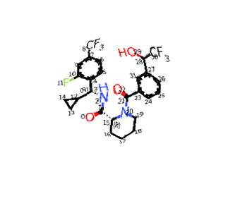 O=C(N[C@@H](c1ccc(C(F)(F)F)cc1F)C1CC1)[C@H]1CCCCN1C(=O)c1cccc(C(O)C(F)(F)F)c1